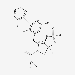 CCS(=O)(=O)N[C@@H]1[C@H](Cc2cc(Cl)cc(-c3ccccc3F)c2F)N(C(=O)C2CC2)CC1(F)F